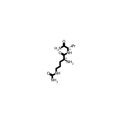 CC(C)[C@H](NC(=O)[C@@H](N)CCCNC(N)=O)C(N)=O